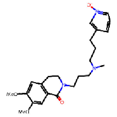 COc1cc2c(cc1OC)C(=O)N(CCCN(C)CCCc1ccc[n+]([O-])c1)CC2